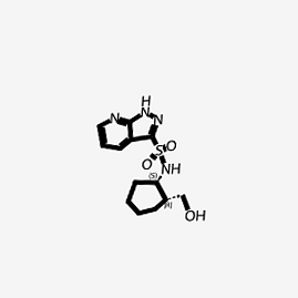 O=S(=O)(N[C@H]1CCCC[C@H]1CO)c1n[nH]c2ncccc12